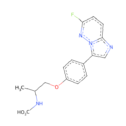 CC(COc1ccc(-c2cnc3ccc(F)nn23)cc1)NC(=O)O